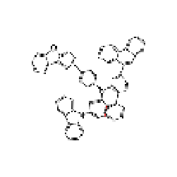 c1ccc(-c2ccc(-c3cc4ccccc4c4ccccc34)cc2N(c2ccc(-c3ccc4oc5ccccc5c4c3)cc2)c2cccc(-n3c4ccccc4c4ccccc43)c2)cc1